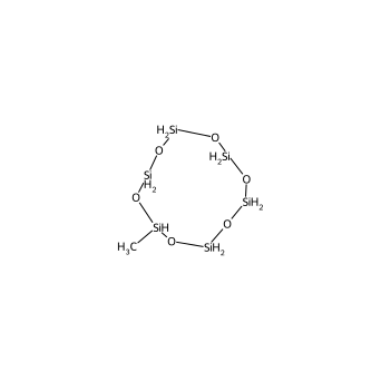 C[SiH]1O[SiH2]O[SiH2]O[SiH2]O[SiH2]O[SiH2]O1